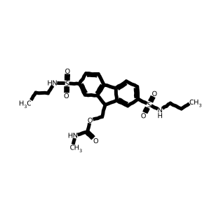 CCCNS(=O)(=O)c1ccc2c(c1)C(COC(=O)NC)c1cc(S(=O)(=O)NCCC)ccc1-2